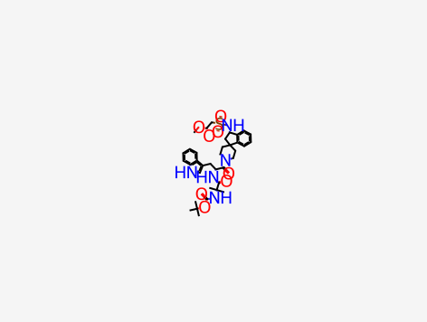 COC(=O)CS(=O)(=O)N[C@@H]1CC2(CCN(C(=O)C(Cc3c[nH]c4ccccc34)NC(=O)C(C)(C)NC(=O)OC(C)(C)C)CC2)c2ccccc21